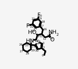 CCc1csc(C2(NCC(O)C(CC(N)=O)Cc3cc(F)cc(F)c3)CCCCC2)c1